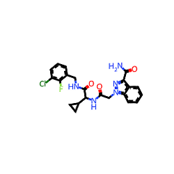 NC(=O)c1nn(CC(=O)NC(C(=O)NCc2cccc(Cl)c2F)C2CC2)c2ccccc12